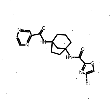 CCc1csc(C(=O)NC23CCCC(NC(=O)c4cnccn4)(CC2)C3)n1